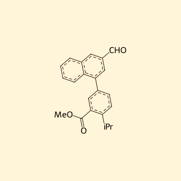 COC(=O)c1cc(-c2cc(C=O)cc3ccccc23)ccc1C(C)C